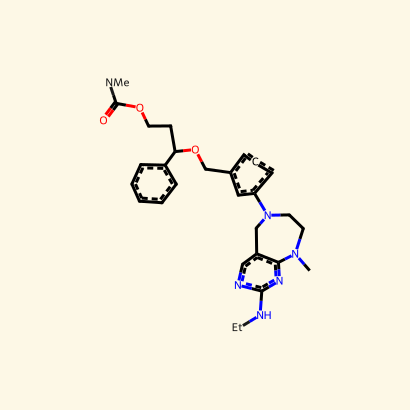 CCNc1ncc2c(n1)N(C)CCN(c1cccc(COC(CCOC(=O)NC)c3ccccc3)c1)C2